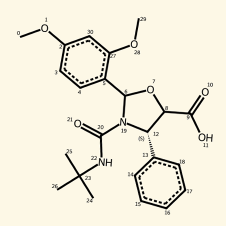 COc1ccc(C2OC(C(=O)O)[C@H](c3ccccc3)N2C(=O)NC(C)(C)C)c(OC)c1